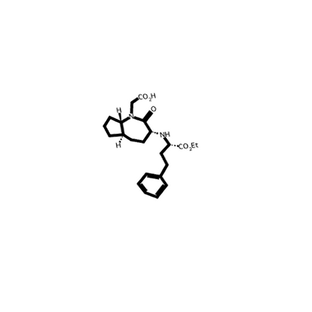 CCOC(=O)[C@H](CCc1ccccc1)N[C@@H]1CC[C@H]2CCC[C@@H]2N(CC(=O)O)C1=O